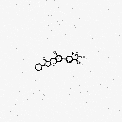 C=C(c1ccc(-c2cc(Cl)c(CC3CCN(C4CCCCC4)C3=O)c(Cl)c2)cc1)N(C)C